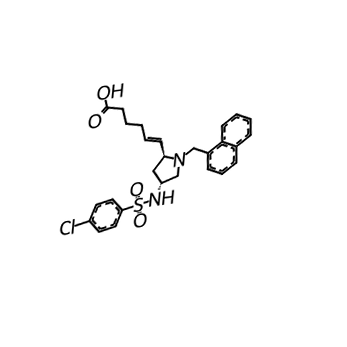 O=C(O)CCCC=C[C@@H]1C[C@@H](NS(=O)(=O)c2ccc(Cl)cc2)CN1Cc1cccc2ccccc12